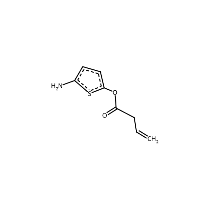 C=CCC(=O)Oc1ccc(N)s1